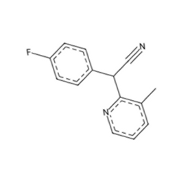 Cc1cccnc1C(C#N)c1ccc(F)cc1